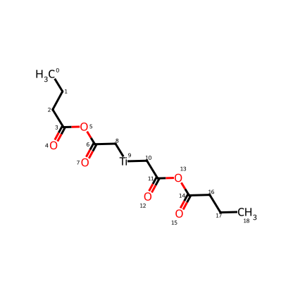 CCCC(=O)OC(=O)[CH2][Ti][CH2]C(=O)OC(=O)CCC